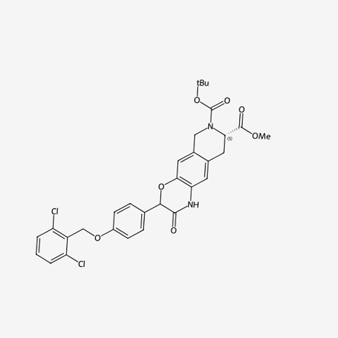 COC(=O)[C@@H]1Cc2cc3c(cc2CN1C(=O)OC(C)(C)C)OC(c1ccc(OCc2c(Cl)cccc2Cl)cc1)C(=O)N3